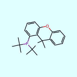 CC1(C)c2ccccc2Oc2cccc(P(C(C)(C)C)C(C)(C)C)c21